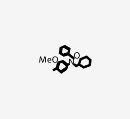 COc1cc(N(CC2CCCCC2)C(=O)c2ccccc2)ccc1C